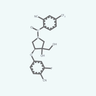 N#Cc1ccc(O[C@H]2CN([S+]([O-])c3ccc(C(F)(F)F)cc3C#N)CC2(O)CO)cc1F